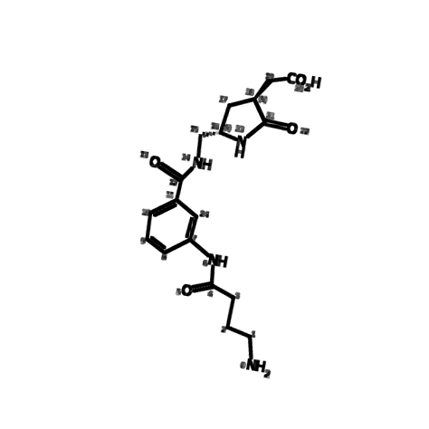 NCCCC(=O)Nc1cccc(C(=O)NC[C@@H]2C[C@@H](CC(=O)O)C(=O)N2)c1